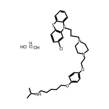 CC(C)NCCCCCOc1ccc(OCCN2CCN(CCCN3c4ccccc4Sc4ccc(Cl)cc43)CC2)cc1.Cl.Cl.Cl